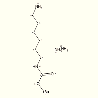 CC(C)(C)OC(=O)NCCCCCCN.N.N